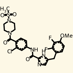 COc1ccc(Cc2cnc(C(=O)Nc3ccc(C(=O)N4CCN(S(C)(=O)=O)CC4)c(Cl)c3)[nH]2)c(F)c1F